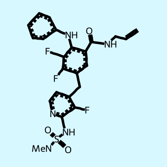 C=CCNC(=O)c1cc(Cc2ccnc(NS(=O)(=O)NC)c2F)c(F)c(F)c1Nc1ccccc1